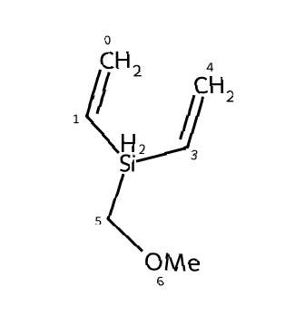 C=C[SiH](C=C)COC